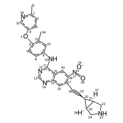 Cc1ccc(Oc2ccc(Nc3ncnc4cc(C#C[C@H]5[C@H]6CNC[C@@H]56)c([N+](=O)[O-])cc34)cc2C)cn1